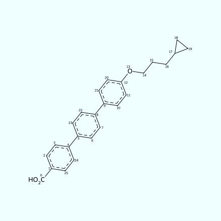 O=C(O)c1ccc(-c2ccc(-c3ccc(OCCCC4CC4)cc3)cc2)cc1